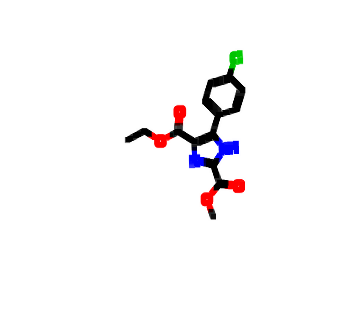 CCOC(=O)c1nc(C(=O)OC)[nH]c1-c1ccc(Cl)cc1